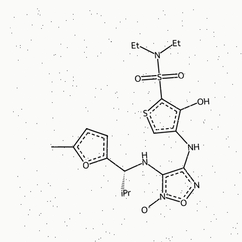 CCN(CC)S(=O)(=O)c1scc(Nc2no[n+]([O-])c2N[C@@H](c2ccc(C)o2)C(C)C)c1O